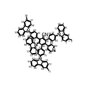 Cc1ccc2c(c1)c1ccccc1n2-c1ccc(-c2c(C#N)c(-c3ccc(-n4c5ccccc5c5cc(C)ccc54)cc3)c(-n3c4ccccc4c4cccnc43)c(-c3ccc(-n4c5ccccc5c5cc(C)ccc54)cc3)c2-c2ccncc2)cc1